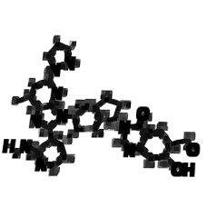 Cc1cc(-n2cccn2)nc2c1nc(-c1cccnc1N)n2-c1ccc2c(c1)CC[C@@H]2n1cnc2cc(O)c(C=O)cc2c1=O